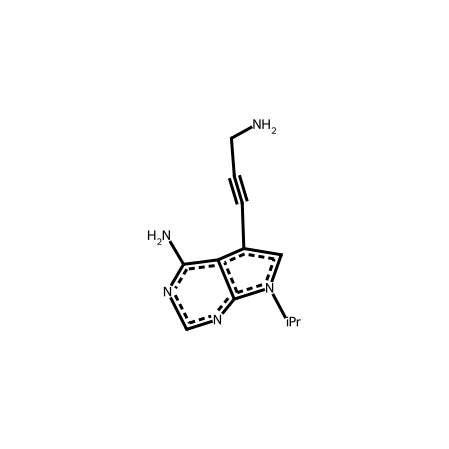 CC(C)n1cc(C#CCN)c2c(N)ncnc21